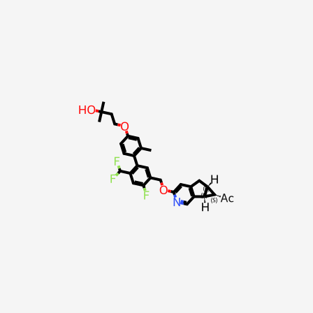 CC(=O)[C@H]1[C@@H]2Cc3cc(OCc4cc(-c5ccc(OCCC(C)(C)O)cc5C)c(C(F)F)cc4F)ncc3[C@@H]21